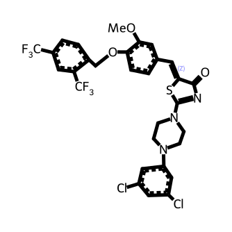 COc1cc(/C=C2\SC(N3CCN(c4cc(Cl)cc(Cl)c4)CC3)=NC2=O)ccc1OCc1ccc(C(F)(F)F)cc1C(F)(F)F